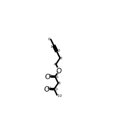 CC#CCCOC(=O)CC(C)=O